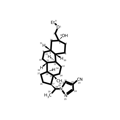 CCOC[C@@]1(O)CC[C@H]2[C@H](CC[C@@H]3[C@@H]2CC[C@]2(C)[C@@H](C(C)n4cc(C#N)cn4)CC[C@@H]32)C1